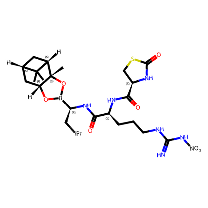 CC(C)C[C@H](NC(=O)[C@H](CCCNC(=N)N[N+](=O)[O-])NC(=O)[C@H]1CSC(=O)N1)B1O[C@@H]2C[C@@H]3C[C@@H](C3(C)C)[C@]2(C)O1